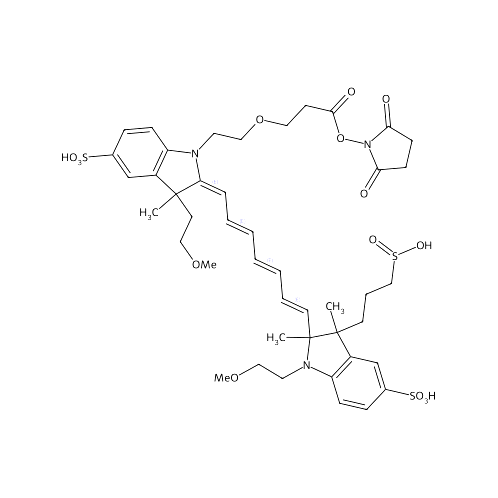 COCCN1c2ccc(S(=O)(=O)O)cc2C(C)(CCCS(=O)O)C1(C)/C=C/C=C/C=C/C=C1/N(CCOCCC(=O)ON2C(=O)CCC2=O)c2ccc(S(=O)(=O)O)cc2C1(C)CCOC